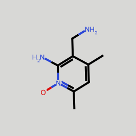 Cc1cc(C)[n+]([O-])c(N)c1CN